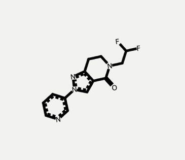 O=C1c2cn(-c3cccnc3)nc2CCN1CC(F)F